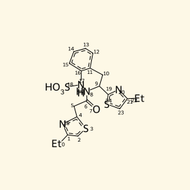 CCc1csc(CC(=O)NC(Cc2ccccc2NS(=O)(=O)O)c2nc(CC)cs2)n1